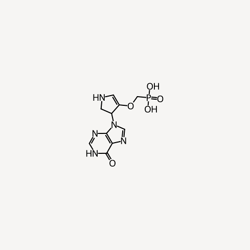 O=c1[nH]cnc2c1ncn2C1CNC=C1OCP(=O)(O)O